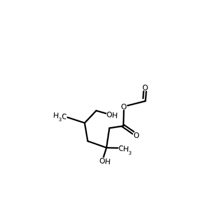 CC(CO)CC(C)(O)CC(=O)OC=O